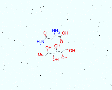 NC(=O)CC(N)C(=O)O.O=CC(O)C(O)C(O)C(O)CO